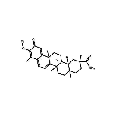 CCOC1=C(C)C2=CC=C3C4(C)CC[C@@]5(C)CC[C@@](C)(C(N)=O)C[C@H]5[C@]4(C)CC[C@@]3(C)C2=CC1=O